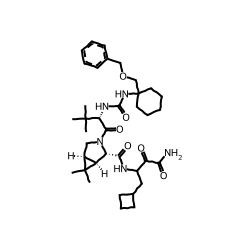 CC(C)(C)[C@H](NC(=O)NC1(COCc2ccccc2)CCCCC1)C(=O)N1C[C@H]2[C@@H]([C@H]1C(=O)NC(CC1CCC1)C(=O)C(N)=O)C2(C)C